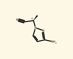 C[C@H](C#N)n1ccc(N)n1